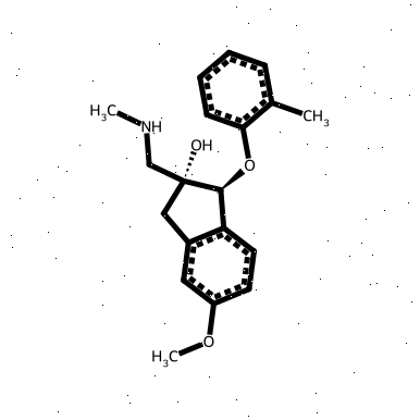 CNC[C@]1(O)Cc2cc(OC)ccc2[C@@H]1Oc1ccccc1C